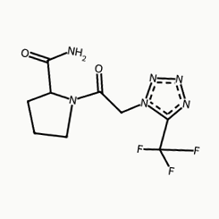 NC(=O)C1CCCN1C(=O)Cn1nnnc1C(F)(F)F